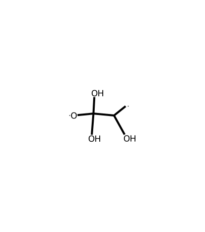 [CH2]C(O)C([O])(O)O